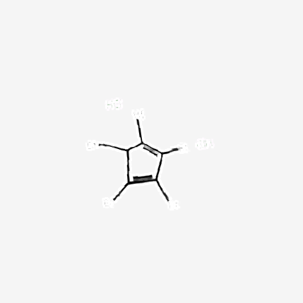 CCC1=[C]([Hf])C(CC)C(CC)=C1CC.Cl.Cl